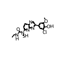 CCNC(=O)N(S)c1ccc2ncc(-c3cc(Cl)c(O)c(OC)c3)nc2n1